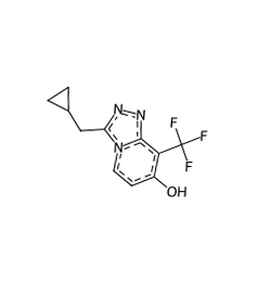 Oc1ccn2c(CC3CC3)nnc2c1C(F)(F)F